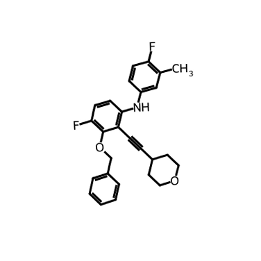 Cc1cc(Nc2ccc(F)c(OCc3ccccc3)c2C#CC2CCOCC2)ccc1F